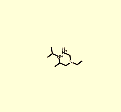 CCN(CN)CC(C)NC(C)C